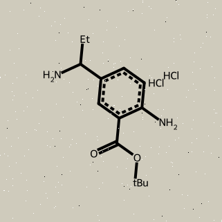 CCC(N)c1ccc(N)c(C(=O)OC(C)(C)C)c1.Cl.Cl